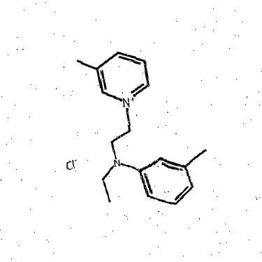 CCN(CC[n+]1cccc(C)c1)c1cccc(C)c1.[Cl-]